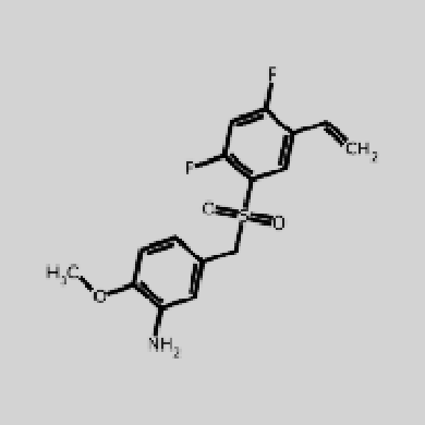 C=Cc1cc(S(=O)(=O)Cc2ccc(OC)c(N)c2)c(F)cc1F